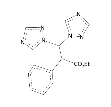 CCOC(=O)C(c1ccccc1)C(n1cncn1)n1cncn1